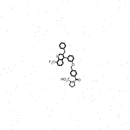 O=C(O)C1CCCN1C(=O)c1ccc(COc2cccc(-c3c(Cc4ccccc4)cnc4c(C(F)(F)F)cccc34)c2)cc1